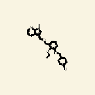 CCOc1c(COCc2c[nH]c3ncccc23)cccc1OCc1ccc(Cl)cc1